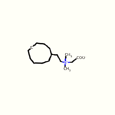 C[N+](C)(CCC1CCCCCCCCC1)CC(=O)[O-]